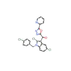 O=C(c1nnc(-c2ccccn2)o1)c1c(Cl)n(Cc2ccc(Cl)cc2)c2ccc(Cl)cc12